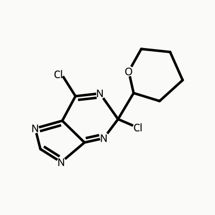 ClC1=NC(Cl)(C2CCCCO2)N=C2N=CN=C12